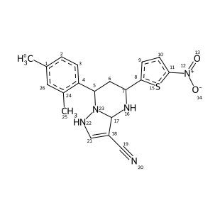 Cc1ccc(C2CC(c3ccc([N+](=O)[O-])s3)NC3C(C#N)=CNN32)c(C)c1